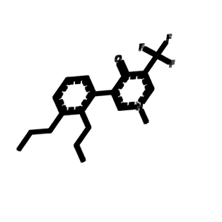 CCCc1cccc(-c2cn(C)cc(C(F)(F)F)c2=O)c1CCC